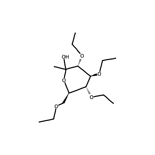 CCOC[C@H]1OC(C)(O)[C@H](OCC)[C@@H](OCC)[C@@H]1OCC